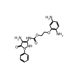 Nc1ccc(N)c(OCCOC(=O)Nc2[nH]n(-c3ccccc3)c(=O)c2N)c1